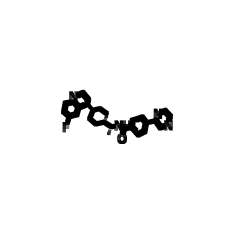 C[C@@H](NC(=O)c1ccc(-c2cnccn2)cc1)[C@H]1CC[C@H](c2ccnc3ccc(F)cc32)CC1